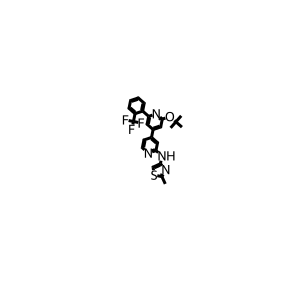 Cc1nc(Nc2cc(-c3cc(OC(C)(C)C)nc(-c4ccccc4C(F)(F)F)c3)ccn2)cs1